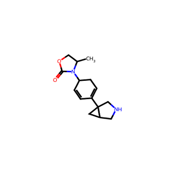 CC1COC(=O)N1C1C=CC(C23CNCC2C3)=CC1